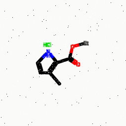 CCOC(=O)c1[nH]ccc1C.Cl